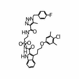 Cc1cc(OCCCc2c(C(=O)NS(=O)(=O)CCNC(=O)c3nnn(Cc4ccc(F)cc4)c3C)[nH]c3ccccc23)cc(C)c1Cl